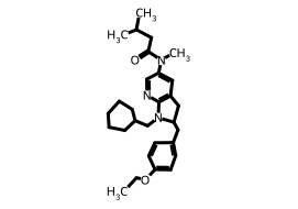 CCOc1ccc(CC2Cc3cc(N(C)C(=O)CC(C)C)cnc3N2CC2CCCCC2)cc1